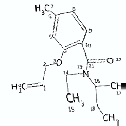 C=CCOc1cc(C)ccc1C(=O)N(CC)C(C)CC